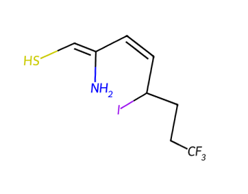 NC(/C=C\C(I)CCC(F)(F)F)=C\S